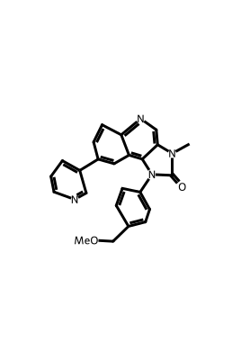 COCc1ccc(-n2c(=O)n(C)c3cnc4ccc(-c5cccnc5)cc4c32)cc1